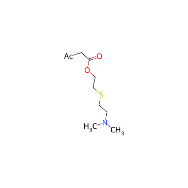 CC(=O)CC(=O)OCCSCCN(C)C